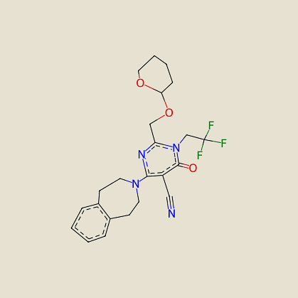 N#Cc1c(N2CCc3ccccc3CC2)nc(COC2CCCCO2)n(CC(F)(F)F)c1=O